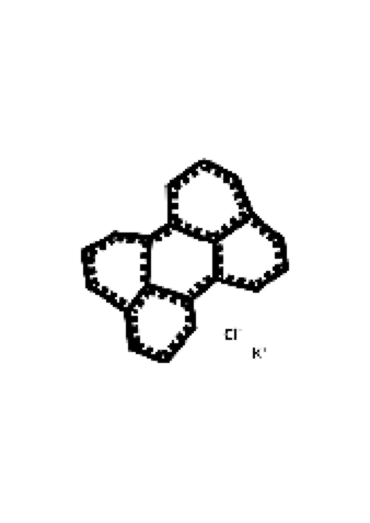 [Cl-].[K+].c1cc2cccc3c4cccc5cccc(c(c1)c23)c54